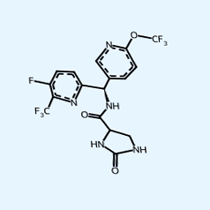 O=C1NCC(C(=O)N[C@H](c2ccc(OC(F)(F)F)nc2)c2ccc(F)c(C(F)(F)F)n2)N1